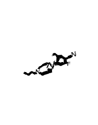 CCCCN1CCN(c2cc(F)c(C#N)cc2C)CC1